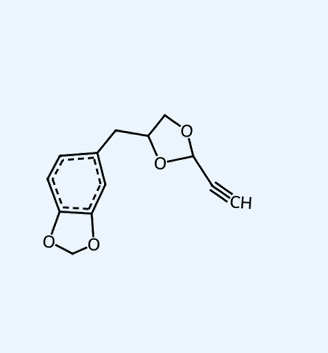 C#CC1OCC(Cc2ccc3c(c2)OCO3)O1